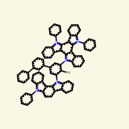 N#Cc1c(-n2c3ccccc3c3ccc4c(c5ccccc5n4-c4ccccc4)c32)cc(-c2cccc(-c3ccccc3)c2)cc1-n1c2ccccc2c2c3c(c4ccccc4n3-c3ccccc3)c3c(c4ccccc4n3-c3ccccc3)c21